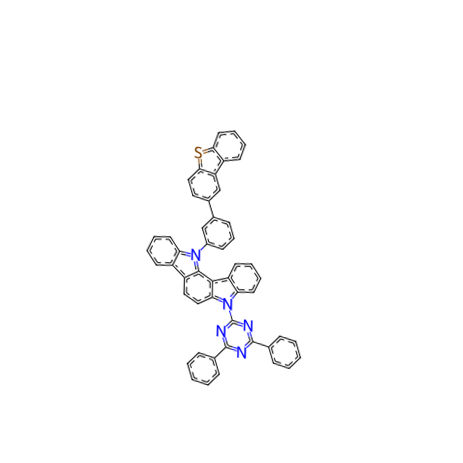 c1ccc(-c2nc(-c3ccccc3)nc(-n3c4ccccc4c4c3ccc3c5ccccc5n(-c5cccc(-c6ccc7sc8ccccc8c7c6)c5)c34)n2)cc1